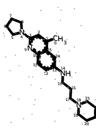 Cc1cc(N2CCCC2)nc2ccc(NCCCN3CCCCC3)cc12